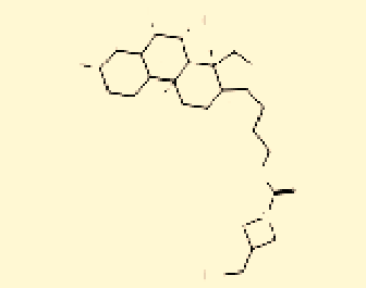 CC[C@@H]1C2C[C@H](O)CC[C@]2(C)[C@H]2CC[C@]3(C)[C@@H]([C@H](C)CCOC(=O)N4CC(CO)C4)CC[C@H]3[C@@H]2[C@@H]1O